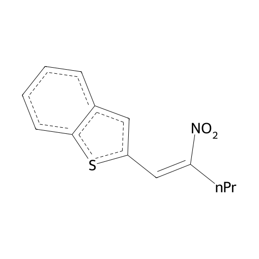 CCC/C(=C/c1cc2ccccc2s1)[N+](=O)[O-]